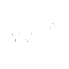 CC1(C)NC(=O)N(CCCN=[N+]=[N-])C1=O